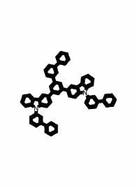 c1ccc(-c2cccc(-c3cc(-c4ccc5c(c4)c4ccccc4n5-c4cccc(-c5ccccc5)c4)cc(-c4ccc5c(c4)c4ccccc4n5-c4cccc(-c5ccccc5)c4)c3)c2)cc1